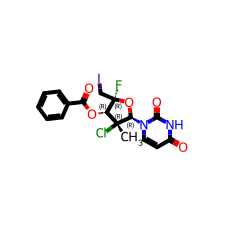 C[C@]1(Cl)[C@H](n2ccc(=O)[nH]c2=O)O[C@](F)(CI)[C@H]1OC(=O)c1ccccc1